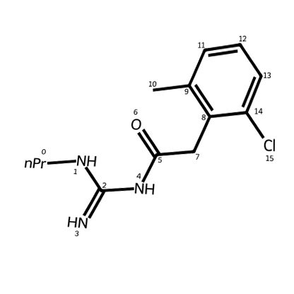 CCCNC(=N)NC(=O)Cc1c(C)cccc1Cl